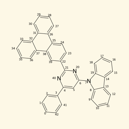 c1ccc(-c2cc(-n3c4ccccc4c4ccccc43)nc(-c3ccc4c5ccccc5c5ccccc5c4c3)n2)cc1